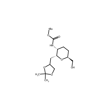 CC(C)(C)OC(=O)N[C@@H]1CC[C@@H](CO)O[C@@H]1CC1COC(C)(C)O1